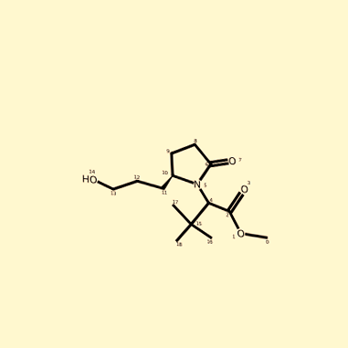 COC(=O)C(N1C(=O)CC[C@@H]1CCCO)C(C)(C)C